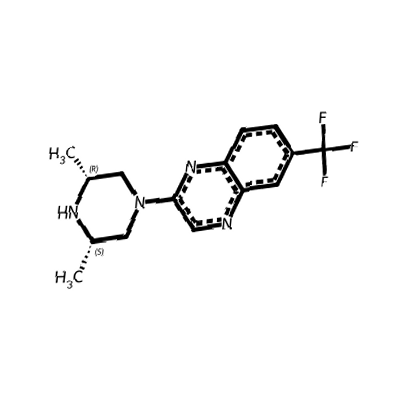 C[C@@H]1CN(c2cnc3cc(C(F)(F)F)ccc3n2)C[C@H](C)N1